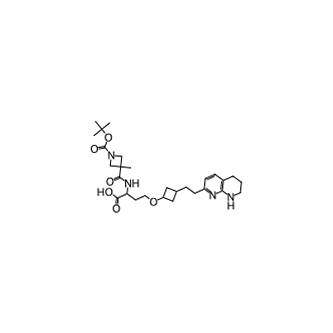 CC(C)(C)OC(=O)N1CC(C)(C(=O)NC(CCOC2CC(CCc3ccc4c(n3)NCCC4)C2)C(=O)O)C1